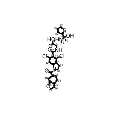 C[C@@](O)(NC[C@H](NC(=O)c1c(Cl)cc2c(c1Cl)CCN2C(=O)c1ccc2ccoc2c1)C(=O)O)c1cccs1